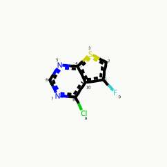 Fc1csc2ncnc(Cl)c12